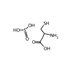 NC(CS)C(=O)O.O=S(O)O